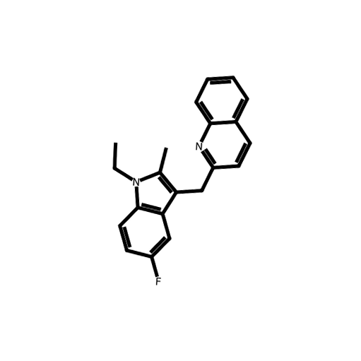 CCn1c(C)c(Cc2ccc3ccccc3n2)c2cc(F)ccc21